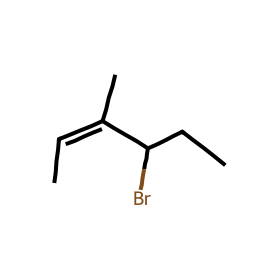 CC=C(C)C(Br)CC